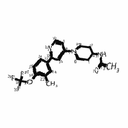 CC(=O)NC1CCN(c2ccnc(-c3ccc(OC(F)(F)F)c(C)c3)c2)CC1